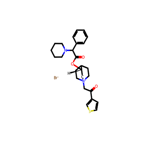 O=C(C[N+]12CCC(CC1)[C@@H](OC(=O)C(c1ccccc1)N1CCCCC1)C2)c1ccsc1.[Br-]